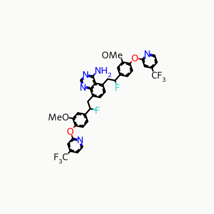 COc1cc(C(F)Cc2ccc(CC(F)c3ccc(Oc4cc(C(F)(F)F)ccn4)c(OC)c3)c3c(N)ncnc23)ccc1Oc1cc(C(F)(F)F)ccn1